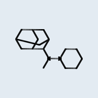 CN(C1C2CC3CC(C2)CC1C3)N1CCCCC1